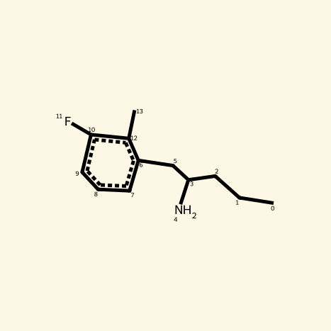 CCCC(N)Cc1cccc(F)c1C